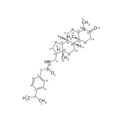 CC(C)c1ccc(CC(=O)NCC2CC[C@H]3[C@@H]4CCC5N(C)C(=O)CC[C@]5(C)[C@@H]4CC[C@]23C)cc1